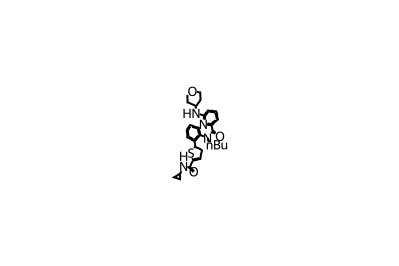 CCCCN(C(=O)c1cccc(NC2CCOCC2)n1)c1ccccc1C1CC=C(C(=O)NC2CC2)S1